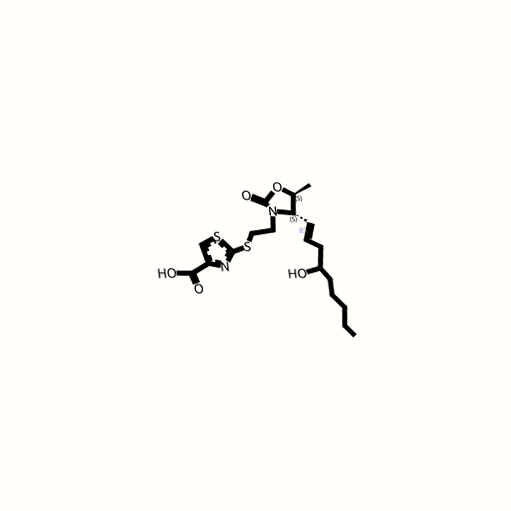 CCCCCC(O)C/C=C/[C@H]1[C@H](C)OC(=O)N1CCSc1nc(C(=O)O)cs1